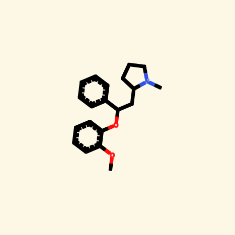 COc1ccccc1OC(CC1CCCN1C)c1ccccc1